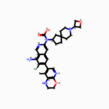 Cc1c(-c2cc3cc(N(C(=O)O)C4CCC5(CCN(C6COC6)CC5)C4)ncc3c(N)c2F)cnc2c1NCCO2